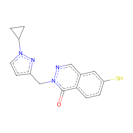 O=c1c2ccc(S)cc2cnn1Cc1ccn(C2CC2)n1